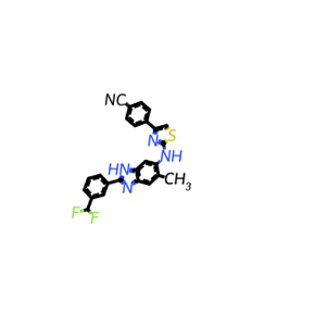 Cc1cc2nc(-c3cccc(C(F)F)c3)[nH]c2cc1Nc1nc(-c2ccc(C#N)cc2)cs1